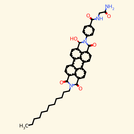 CCCCCCCCCCCCN1C(=O)c2ccc3c4ccc5c6c(ccc(c7ccc(c2c37)C1=O)c64)C(O)N(c1ccc(C(=O)NCC(N)=O)cc1)C5=O